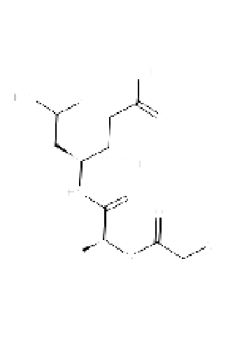 CCC(=O)N[C@@H](C)C(=O)N[C@@H](CC(C)C)[C@@H](O)CC(=O)O